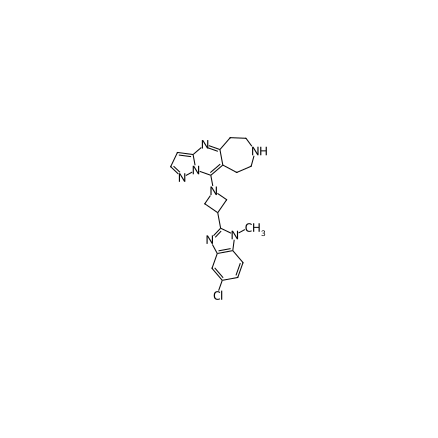 Cn1c(C2CN(c3c4c(nc5ccnn35)CCNCC4)C2)nc2cc(Cl)ccc21